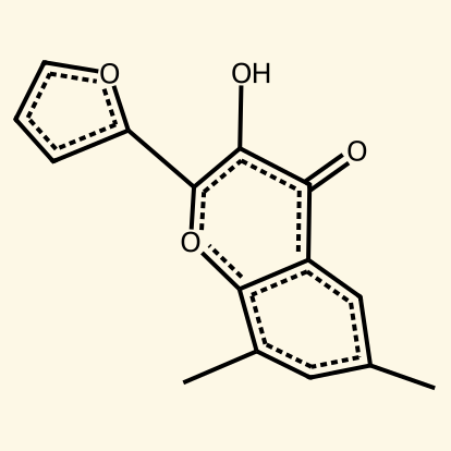 Cc1cc(C)c2oc(-c3ccco3)c(O)c(=O)c2c1